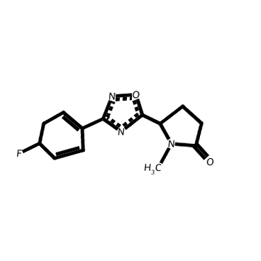 CN1C(=O)CCC1c1nc(C2=CCC(F)C=C2)no1